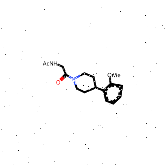 COc1ccccc1C1CCN(C(=O)CNC(C)=O)CC1